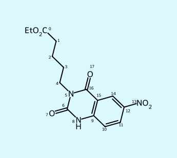 CCOC(=O)CCCCn1c(=O)[nH]c2ccc([N+](=O)[O-])cc2c1=O